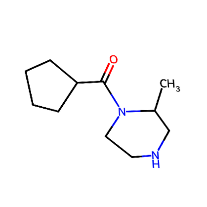 CC1CNCCN1C(=O)C1CCCC1